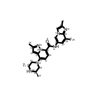 Cc1cn2cc(NC(=O)c3ccc(N4C[C@@H](C)N[C@H](C)C4)c4cc(C)nn34)cc(F)c2n1